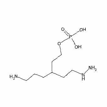 NCCCC(CCNN)CCOP(=O)(O)O